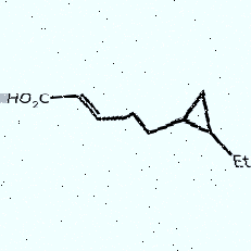 CCC1CC1CC/C=C/C(=O)O